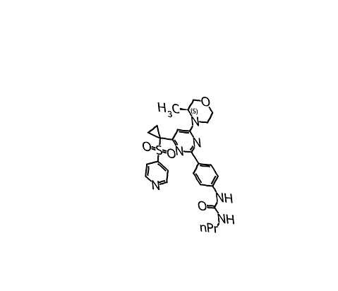 CCCNC(=O)Nc1ccc(-c2nc(N3CCOC[C@@H]3C)cc(C3(S(=O)(=O)c4ccncc4)CC3)n2)cc1